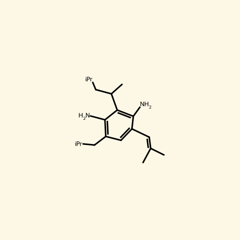 CC(C)=Cc1cc(CC(C)C)c(N)c(C(C)CC(C)C)c1N